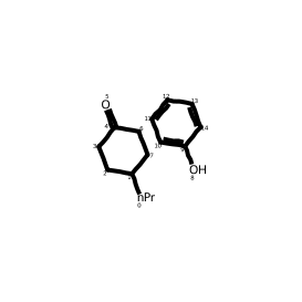 CCCC1CCC(=O)CC1.Oc1ccccc1